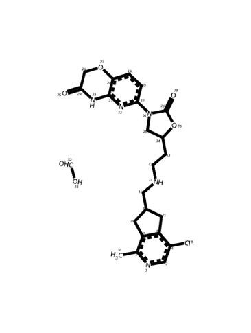 Cc1ncc(Cl)c2c1CC(CNCCC1CN(c3ccc4c(n3)NC(=O)CO4)C(=O)O1)C2.O=CO